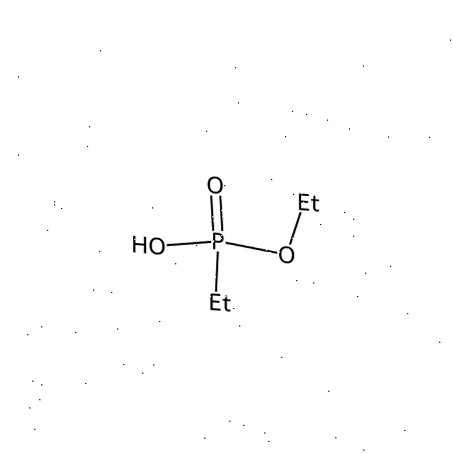 CCOP(=O)(O)CC